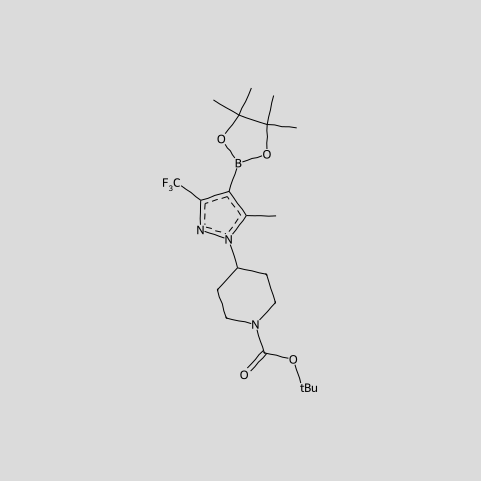 Cc1c(B2OC(C)(C)C(C)(C)O2)c(C(F)(F)F)nn1C1CCN(C(=O)OC(C)(C)C)CC1